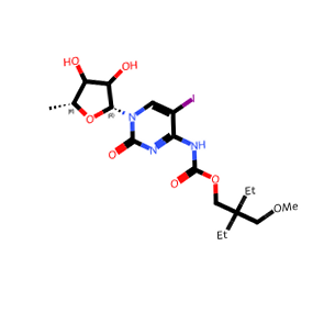 CCC(CC)(COC)COC(=O)Nc1nc(=O)n([C@@H]2O[C@H](C)C(O)C2O)cc1I